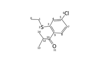 CCSc1cc(Cl)ccc1C(=O)C(C)C